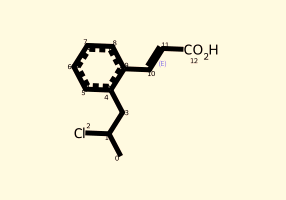 CC(Cl)Cc1ccccc1/C=C/C(=O)O